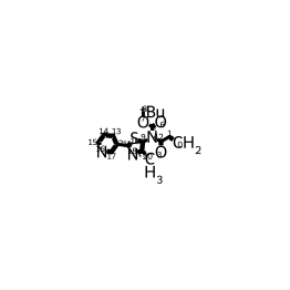 C=CC(=O)N(C(=O)OC(C)(C)C)c1sc(-c2cccnc2)nc1C